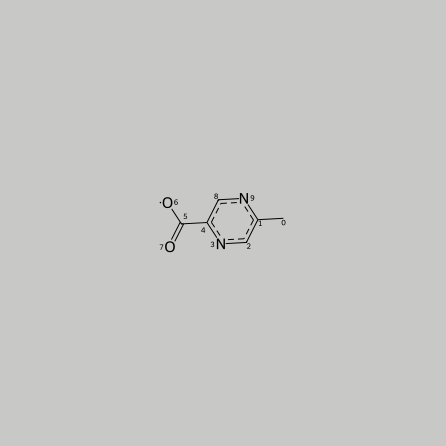 Cc1cnc(C([O])=O)cn1